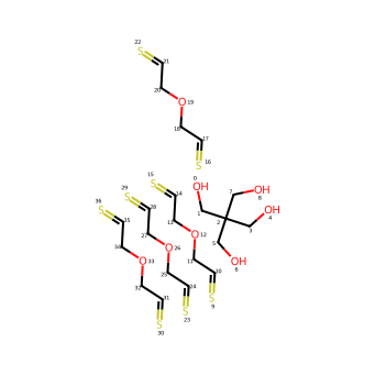 OCC(CO)(CO)CO.S=CCOCC=S.S=CCOCC=S.S=CCOCC=S.S=CCOCC=S